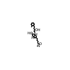 Cc1ccccc1CC[C@H](O)/C=C/[C@@H]1[C@H]2CC(CCCCC(=O)N(C)C)=C[C@H]2C[C@H]1O